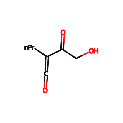 CCCC(=C=O)C(=O)CO